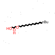 CCCCC=CCC=CCCCCCCCCCOCC(O)CO